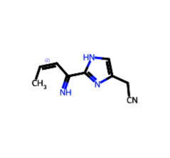 C/C=C\C(=N)c1nc(CC#N)c[nH]1